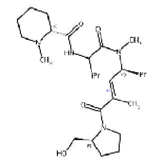 C/C(=C\[C@H](C(C)C)N(C)C(=O)C(NC(=O)[C@H]1CCCCN1C)C(C)C)C(=O)N1CCC[C@H]1CO